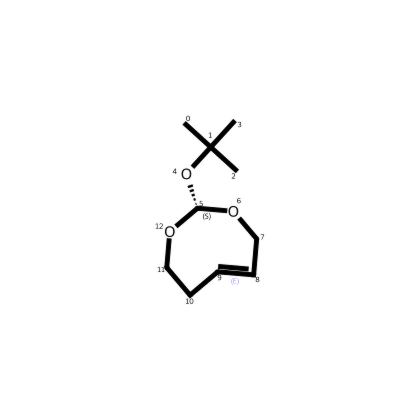 CC(C)(C)O[C@@H]1OC/C=C/CCO1